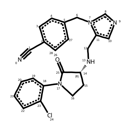 N#Cc1ccc(Cn2cncc2CN[C@@H]2CCN(c3ccccc3Cl)C2=O)cc1